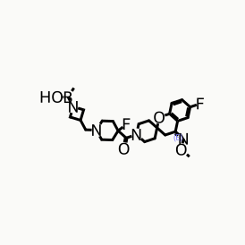 CO/N=C1\CC2(CCN(C(=O)C3(F)CCN(CC4CN(B(C)O)C4)CC3)CC2)Oc2ccc(F)cc21